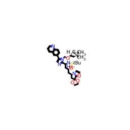 CC(C)(C)[S@@+]([O-])NC(CCCCCC1(c2ncco2)OCCO1)c1ncc(-c2ccc3ncccc3c2)n1COCC[Si](C)(C)C